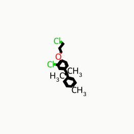 Cc1ccc(C(C)(C)c2ccc(OCCCCl)c(Cl)c2)cc1